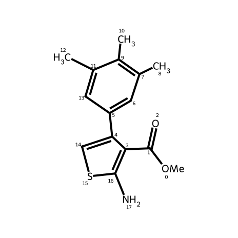 COC(=O)c1c(-c2cc(C)c(C)c(C)c2)csc1N